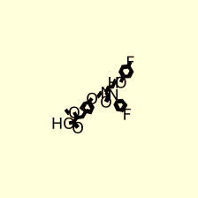 CCOC(Cc1ccc(OCCN(CCCOc2ccc(F)cc2)C(=O)Nc2ccc(F)cc2)cc1)C(=O)O